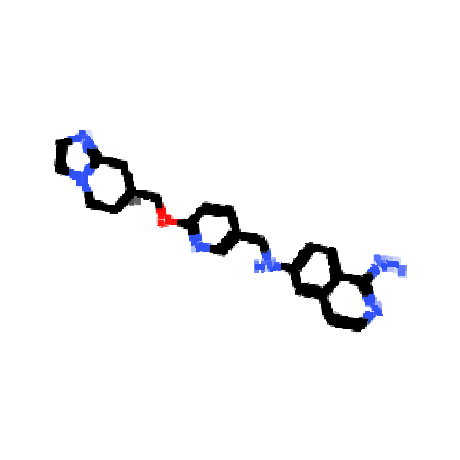 Nc1nccc2cc(NCc3ccc(OC[C@H]4CCn5ccnc5C4)nc3)ccc12